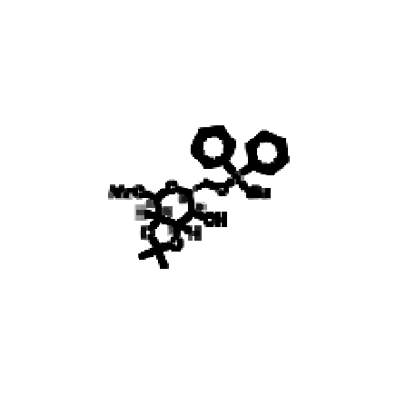 CO[C@H]1O[C@H](CO[Si](c2ccccc2)(c2ccccc2)C(C)(C)C)[C@@H](O)[C@@H]2OC(C)(C)O[C@H]12